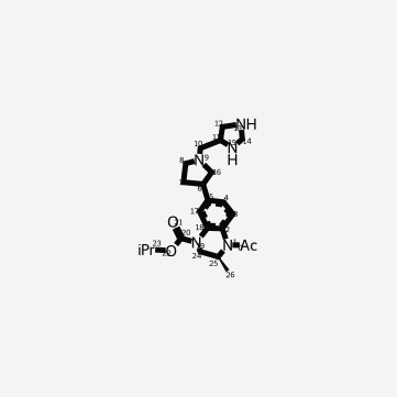 CC(=O)N1c2ccc(C3CCN(CC4CNCN4)C3)cc2N(C(=O)OC(C)C)C[C@@H]1C